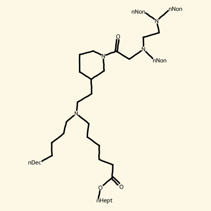 CCCCCCCCCCCCCCN(CCCCCC(=O)OCCCCCCC)CCC1CCCN(C(=O)CN(CCCCCCCCC)CCN(CCCCCCCCC)CCCCCCCCC)C1